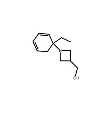 CCC1(N2CC(CO)C2)C=CC=CC1